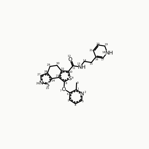 Cc1ncccc1Oc1sc(C(=O)NCCC2=CNCC=C2)c2c1-c1sncc1CC2